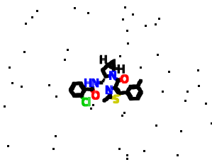 Cc1cccc(-c2sc(C)nc2C(=O)N2[C@H](CNC(=O)c3ccccc3Cl)C[C@@H]3C[C@@H]32)c1